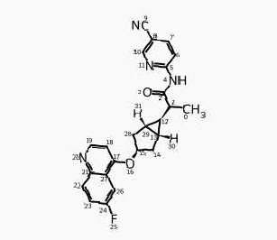 CC(C(=O)Nc1ccc(C#N)cn1)[C@H]1[C@@H]2C[C@@H](Oc3ccnc4ccc(F)cc34)C[C@@H]21